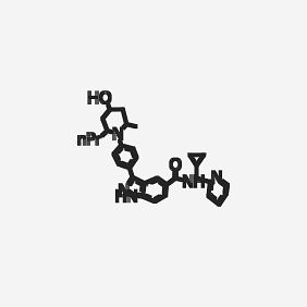 CCCC1CC(O)CC(C)N1c1ccc(-c2n[nH]c3ccc(C(=O)NC(c4ccccn4)C4CC4)cc23)cc1